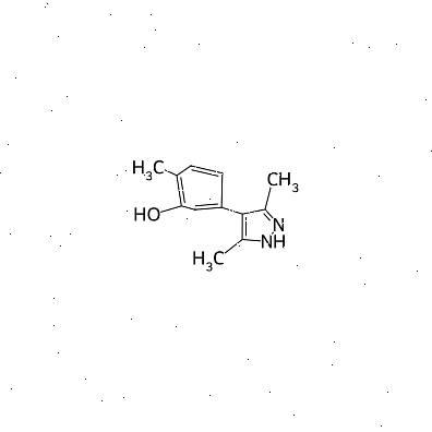 Cc1ccc(-c2c(C)n[nH]c2C)cc1O